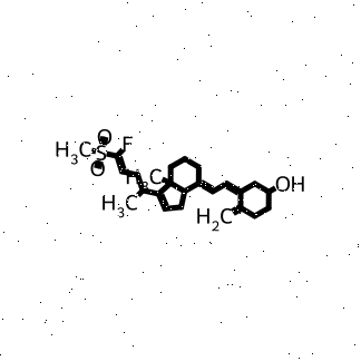 C=C1CCC(O)C/C1=C/C=C1\CCCC2(C)C(C(C)C/C=C(\F)S(C)(=O)=O)=CCC12